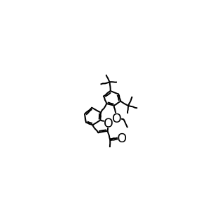 CCOc1c(-c2cccc3cc(C(C)=O)oc23)cc(C(C)(C)C)cc1C(C)(C)C